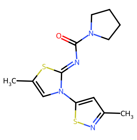 Cc1cc(-n2cc(C)sc2=NC(=O)N2CCCC2)sn1